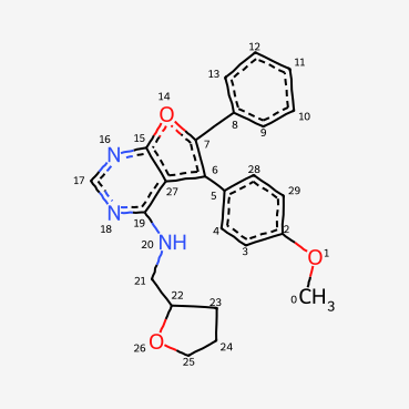 COc1ccc(-c2c(-c3ccccc3)oc3ncnc(NCC4CCCO4)c23)cc1